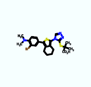 CN(C)c1ccc(-c2sc(-n3cnnc3SC(C)(C)C(=O)O)c3c2CCCC3)cc1Br